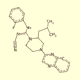 CC(C)CC1CN(c2cnc3ccccc3n2)CCN1/C(=N\C#N)Nc1ccccc1F